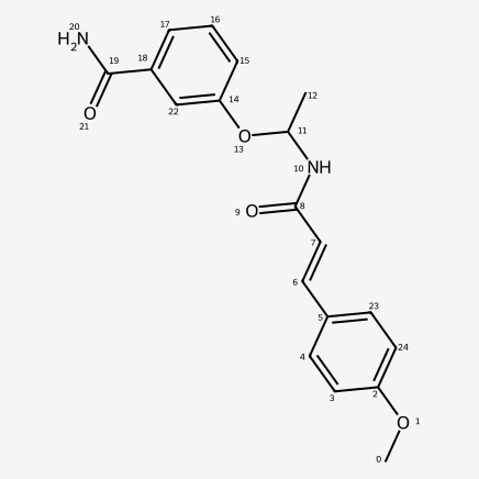 COc1ccc(/C=C/C(=O)NC(C)Oc2cccc(C(N)=O)c2)cc1